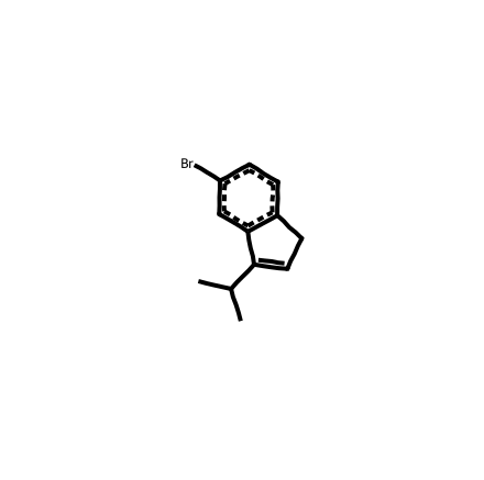 CC(C)C1=CCc2ccc(Br)cc21